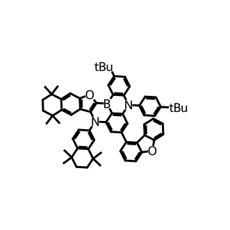 CC(C)(C)c1ccc(N2c3ccc(C(C)(C)C)cc3B3c4oc5cc6c(cc5c4N(c4ccc5c(c4)C(C)(C)CCC5(C)C)c4cc(-c5cccc7oc8ccccc8c57)cc2c43)C(C)(C)CCC6(C)C)cc1